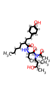 CCCCCC(CCc1ccc(O)cc1)C(=O)NC(CC)C(=O)N(C[C@H](C)[C@@H](C)O)C(C)=O